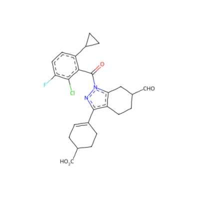 O=CC1CCc2c(C3=CCC(C(=O)O)CC3)nn(C(=O)c3c(C4CC4)ccc(F)c3Cl)c2C1